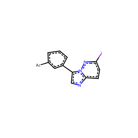 CC(=O)c1cccc(-c2cnc3ccc(I)nn23)c1